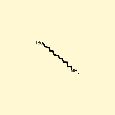 CC(C)(C)CCCCCCCCCCCCCN